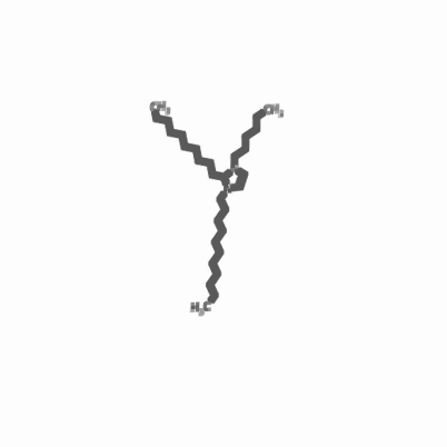 CCCCCCCCCCCN1C=CN(CCCCCC)C1CCCCCCCCCC